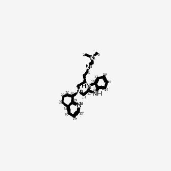 CN(C)/C=N/CCCCN(CC1Nc2ccccc2N1)C1CCCc2cccnc21